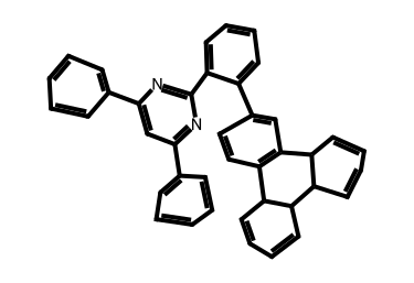 C1=CC2c3ccc(-c4ccccc4-c4nc(-c5ccccc5)cc(-c5ccccc5)n4)cc3C3C=CC=CC3C2C=C1